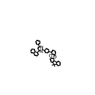 CC1(C)c2ccccc2-c2c1ccc1c2Oc2cccc(-c3ccc(-c4nc(-c5ccccc5)cc(-c5cccc6ccccc56)n4)cc3)c2O1